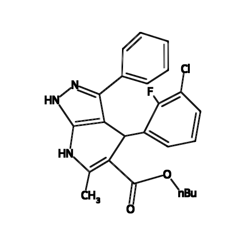 CCCCOC(=O)C1=C(C)Nc2[nH]nc(-c3ccccc3)c2C1c1cccc(Cl)c1F